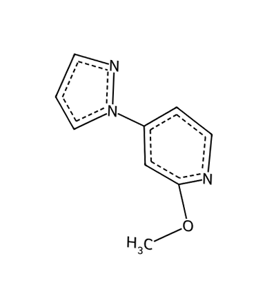 COc1cc(-n2cccn2)ccn1